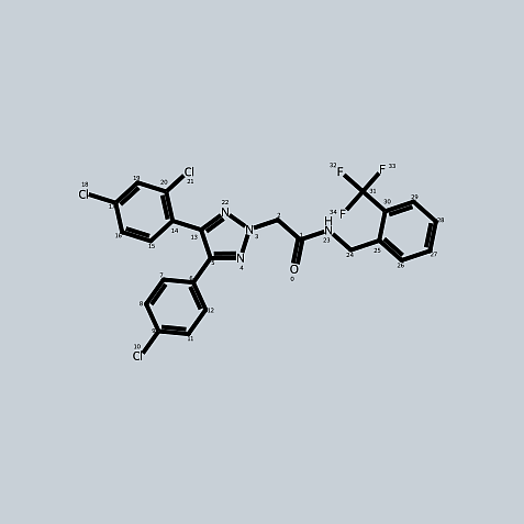 O=C(Cn1nc(-c2ccc(Cl)cc2)c(-c2ccc(Cl)cc2Cl)n1)NCc1ccccc1C(F)(F)F